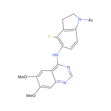 COc1cc2ncnc(Nc3ccc4c(c3F)CCN4C(C)=O)c2cc1OC